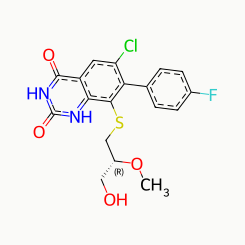 CO[C@H](CO)CSc1c(-c2ccc(F)cc2)c(Cl)cc2c(=O)[nH]c(=O)[nH]c12